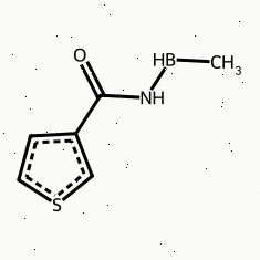 CBNC(=O)c1ccsc1